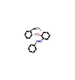 C=Cc1ccccc1.Oc1ccccc1N=Nc1ccccc1